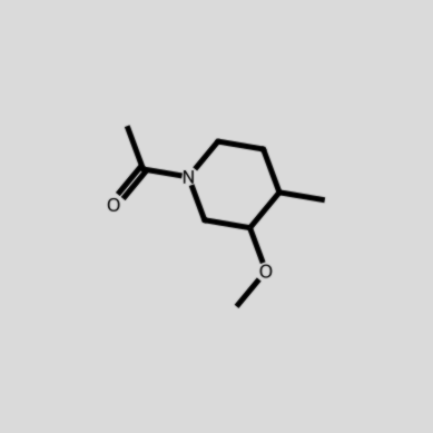 COC1CN(C(C)=O)CCC1C